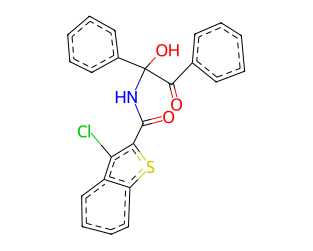 O=C(NC(O)(C(=O)c1ccccc1)c1ccccc1)c1sc2ccccc2c1Cl